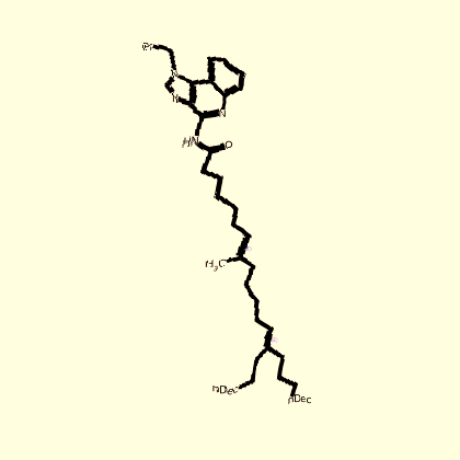 CCCCCCCCCCCCC/C(=C/CCCC/C(C)=C/CCCCCC(=O)Nc1nc2ccccc2c2c1ncn2CC(C)C)CCCCCCCCCCCC